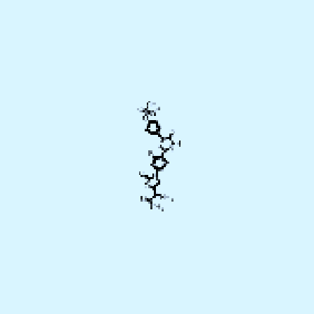 CC(=O)C(N)C1CN(c2ccc(C3=NNC(=O)C(c4ccc(OS(C)(=O)=O)cc4)S3)c(F)c2)C(=O)O1